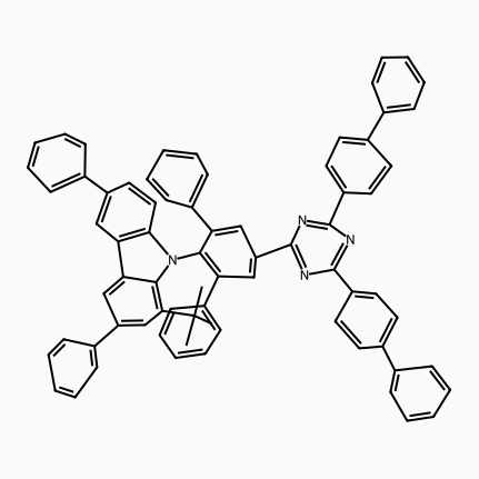 CC(C)(C)c1cc(-c2ccccc2)cc2c3cc(-c4ccccc4)ccc3n(-c3c(-c4ccccc4)cc(-c4nc(-c5ccc(-c6ccccc6)cc5)nc(-c5ccc(-c6ccccc6)cc5)n4)cc3-c3ccccc3)c12